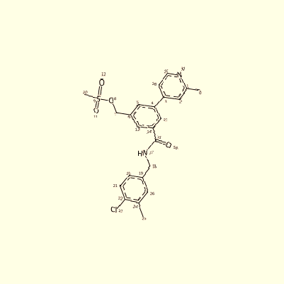 Cc1cc(-c2cc(COS(C)(=O)=O)cc(C(=O)NCc3ccc(Cl)c(C)c3)c2)ccn1